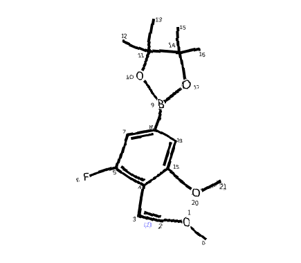 CO/C=C\c1c(F)cc(B2OC(C)(C)C(C)(C)O2)cc1OC